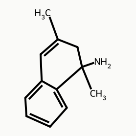 CC1=Cc2ccccc2C(C)(N)C1